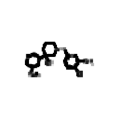 COc1cccc(C2(O)CCCN(Cc3ccc(Cl)c([N+](=O)[O-])c3)C2)c1